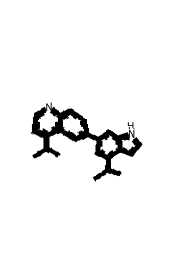 CC(C)c1ccnc2ccc(-c3cc(C(C)C)c4cc[nH]c4c3)cc12